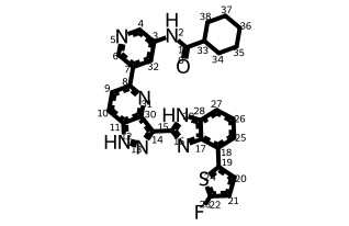 O=C(Nc1cncc(-c2ccc3[nH]nc(-c4nc5c(-c6ccc(F)s6)cccc5[nH]4)c3n2)c1)C1CCCCC1